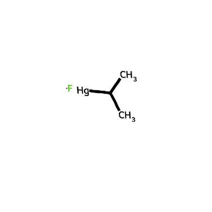 C[CH](C)[Hg].[F]